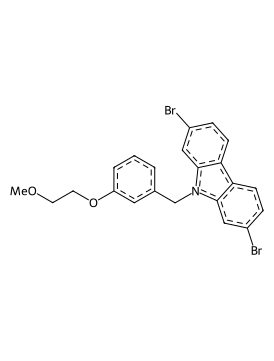 COCCOc1cccc(Cn2c3cc(Br)ccc3c3ccc(Br)cc32)c1